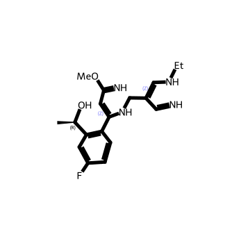 CCN/C=C(\C=N)CN/C(=C\C(=N)OC)c1ccc(F)cc1[C@@H](C)O